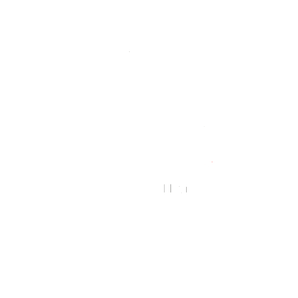 C1=C(C2=CCCCCC2)CCCCC1.CO[SiH3]